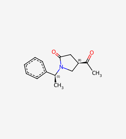 CC(=O)[C@@H]1CC(=O)N([C@@H](C)c2ccccc2)C1